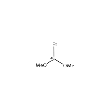 CC[Si](OC)OC